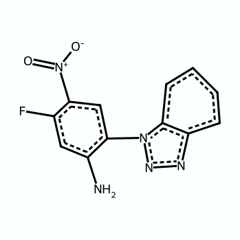 Nc1cc(F)c([N+](=O)[O-])cc1-n1nnc2ccccc21